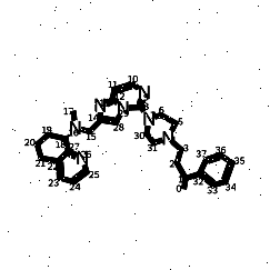 CC(CCN1CCN(c2nccc3nc(CN(C)[C@H]4CCCc5cccnc54)cn23)CC1)c1ccccc1